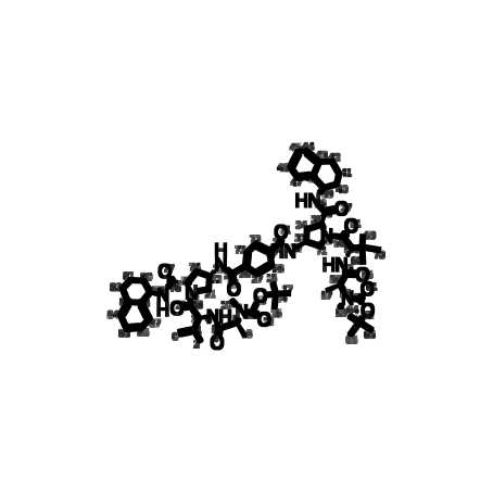 C=C(C)[C@H](NC(=O)[C@H](C)N(C)C(=O)OC(C)(C)C)C(=O)N1C[C@@H](NC(=O)c2ccc(C(=O)N[C@H]3C[C@@H](C(=O)NC4CCCc5ccccc54)N(C(=O)[C@@H](NC(=O)[C@H](C)N(C)C(=O)OC(C)(C)C)C(C)(C)C)C3)cc2)C[C@H]1C(=O)N[C@@H]1CCCc2ccccc21